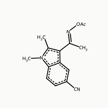 CC(=O)O/N=C(\C)c1c(C)n(C)c2ccc(C#N)cc12